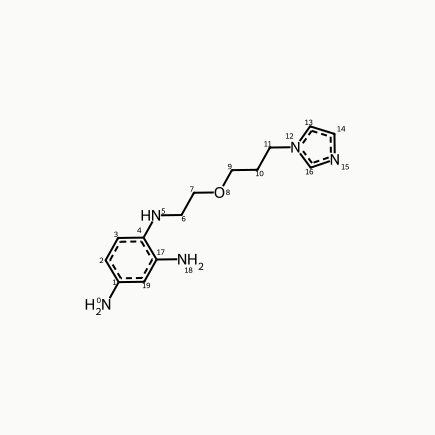 Nc1ccc(NCCOCCCn2ccnc2)c(N)c1